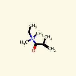 C=C(C)C(=O)[N+](C)(C)CC